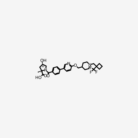 C[C@@]1(C(=O)O)C[C@@H](O)CN1C(=O)c1ccc(-c2ccc(OCC3CCN(CC4(C(F)(F)F)CCC4)CC3)nc2)cc1